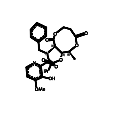 COc1ccnc(C(=O)N(Cc2ccccc2)[C@H]2C(=O)OCCC(=O)O[C@@H](C)[C@@H]2OC(=O)C(C)C)c1O